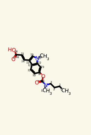 CCCCN(C)C(=O)Oc1ccc2c(C=CC(=O)O)cn(C)c2c1